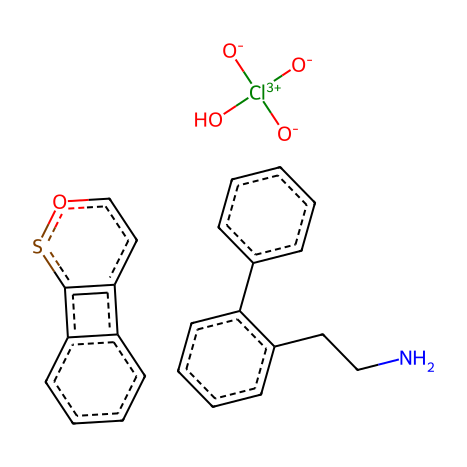 NCCc1ccccc1-c1ccccc1.[O-][Cl+3]([O-])([O-])O.c1ccc2c3soccc=3c2c1